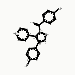 O=C(c1ccc(Cl)cc1)n1nnc(-c2ccc(F)cc2)c1-c1ccncc1